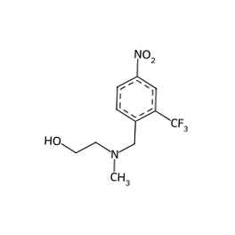 CN(CCO)Cc1ccc([N+](=O)[O-])cc1C(F)(F)F